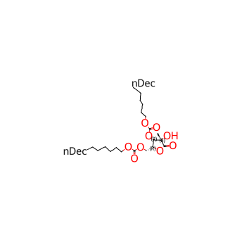 CCCCCCCCCCCCCCCCOC(=O)OC[C@H]1OC(=O)[C@@](C)(O)[C@@H]1OC(=O)OCCCCCCCCCCCCCCCC